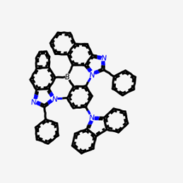 c1ccc(-c2nc3cc4ccccc4c4c3n2-c2cc(-n3c5ccccc5c5ccccc53)cc3c2B4c2c4ccccc4cc4nc(-c5ccccc5)n-3c24)cc1